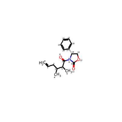 C=CCC(C)C(C)C(=O)N1C(=O)OC[C@H]1c1ccccc1